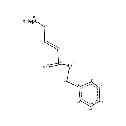 CCCCCCCCC=CC(=O)OCc1ccccc1